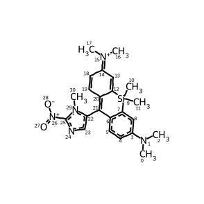 CN(C)c1ccc2c(c1)[Si](C)(C)C1=CC(=[N+](C)C)C=CC1=C2c1cnc([N+](=O)[O-])n1C